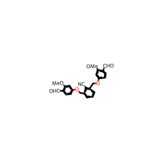 COc1cc(OCc2cccc(COc3ccc(C=O)c(OC)c3)c2C#N)ccc1C=O